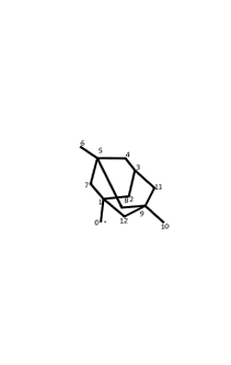 [CH2]C12CC3CC(C)(C1)CC(C)(C3)C2